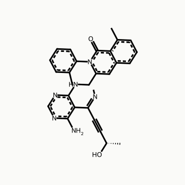 C/N=C(/C#C[C@H](C)O)c1c(N)ncnc1NCc1cc2cccc(C)c2c(=O)n1-c1ccccc1C